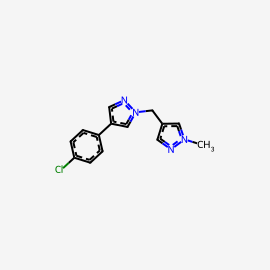 Cn1cc(Cn2cc(-c3ccc(Cl)cc3)cn2)cn1